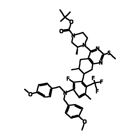 COc1ccc(CN(Cc2ccc(OC)cc2)c2cc(C)c(C(F)(F)F)c(C3Cc4nc(SC)nc(N5CCN(C(=O)OC(C)(C)C)C[C@@H]5C)c4CC3C)c2F)cc1